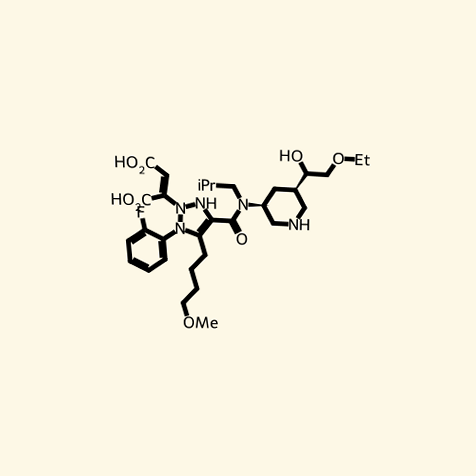 CCOCC(O)[C@H]1CNC[C@@H](N(CC(C)C)C(=O)C2=C(CCCCOC)N(c3ccccc3F)N(/C(=C/C(=O)O)C(=O)O)N2)C1